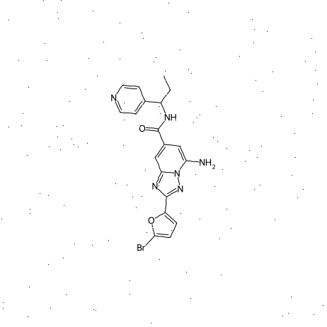 CCC(NC(=O)c1cc(N)n2nc(-c3ccc(Br)o3)nc2c1)c1ccncc1